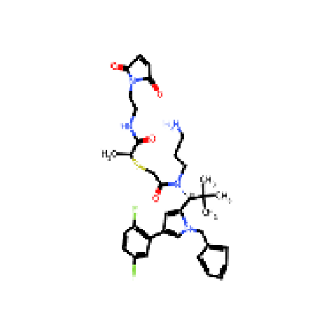 CC(SCC(=O)N(CCCN)[C@@H](c1cc(-c2cc(F)ccc2F)cn1Cc1ccccc1)C(C)(C)C)C(=O)NCCN1C(=O)C=CC1=O